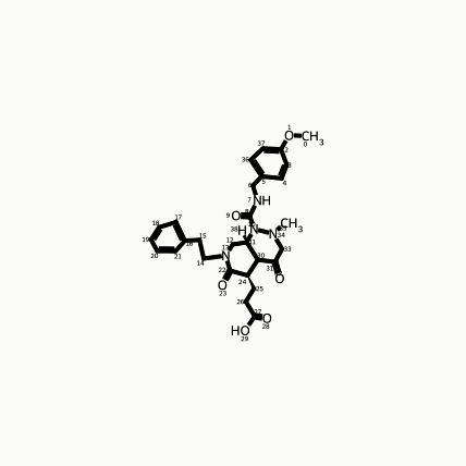 COc1ccc(CNC(=O)N2[C@H]3CN(CCc4ccccc4)C(=O)[C@H](CCC(=O)O)C3C(=O)CN2C)cc1